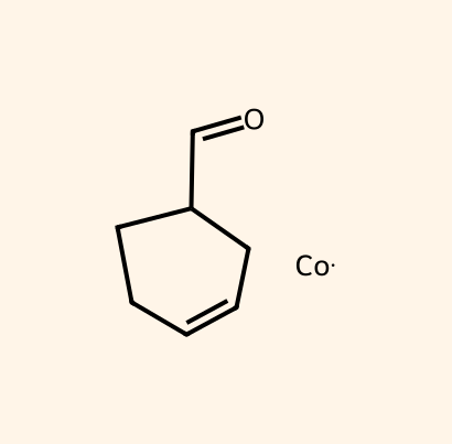 O=CC1CC=CCC1.[Co]